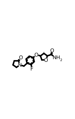 NC(=O)C1[CH]C(Oc2ccc(CN3CCCC3=O)c(F)c2)CO1